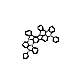 c1ccc(N2c3ccccc3B3c4c2cccc4-n2c4ccccc4c4c5c(cc3c42)-c2ccc3c4c2C5c2ccccc2B4c2ccccc2N3c2ccccc2)cc1